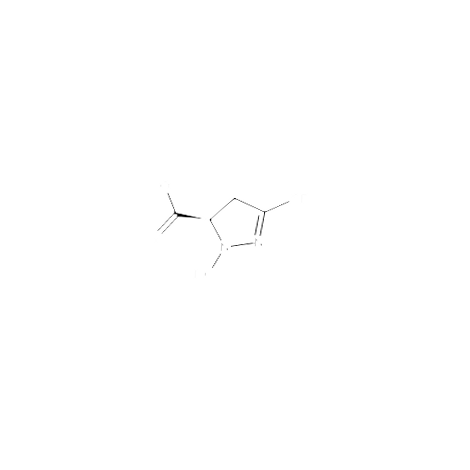 CN1N=C(C(F)(F)F)C[C@@H]1C(O)=S